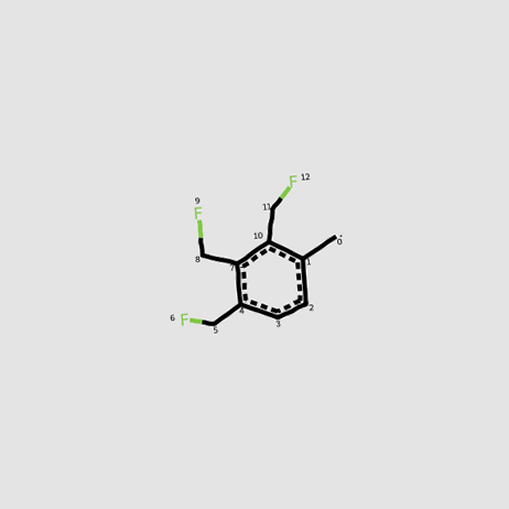 [CH2]c1ccc(CF)c(CF)c1CF